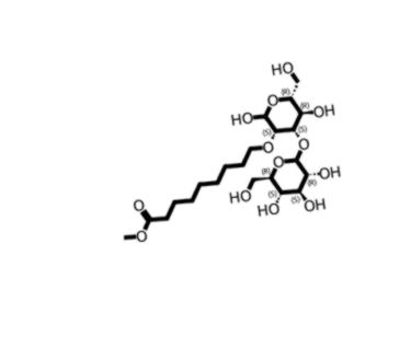 COC(=O)CCCCCCCCO[C@@H]1C(O)O[C@H](CO)[C@@H](O)[C@@H]1OC1O[C@H](CO)[C@@H](O)[C@H](O)[C@H]1O